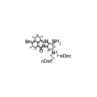 CCCCCCCCCCCCN(CCCCCCCCCCCC)c1cc(N)c2nc3c4cccc5c(Br)ccc(c(=O)n3c2c1)c54